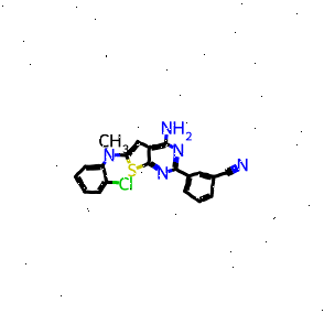 CN(c1cc2c(N)nc(-c3cccc(C#N)c3)nc2s1)c1ccccc1Cl